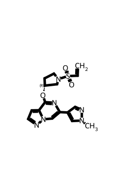 C=CS(=O)(=O)N1CC[C@@H](Oc2nc(-c3cnn(C)c3)cn3nccc23)C1